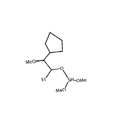 CCC(O[SiH](OC)OC)C(OC)C1CCCC1